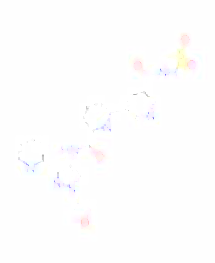 O=C(NC[SH](=O)=O)c1cncc(-c2cccc(C(=O)Nc3cn(C4COC4)nc3-c3ccccn3)n2)c1